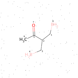 BCC(CB)C(C)=O